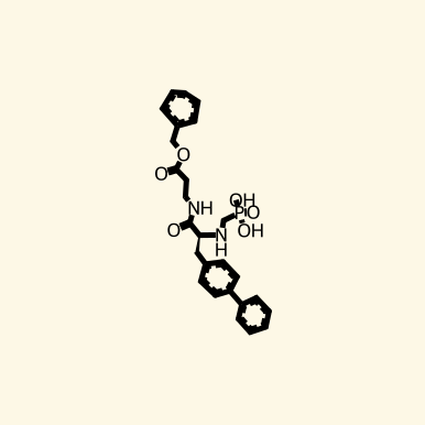 O=C(CCNC(=O)[C@H](Cc1ccc(-c2ccccc2)cc1)NCP(=O)(O)O)OCc1ccccc1